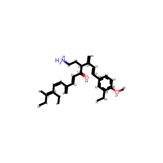 C=C(/C=C\C(CC)=C(/C)CC)/C=C/C(=O)C(CCN)C(=C)/C=C/c1ccc(OC)c(CC)c1